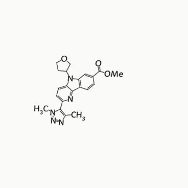 COC(=O)c1ccc2c3nc(-c4c(C)nnn4C)ccc3n(C3CCOC3)c2c1